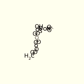 C=CC(=O)OCOc1ccc(OC(=O)C2CCC(C(=O)Oc3ccc(O)c4nc(-c5ccc([N+](=O)[O-])cc5)sc34)CC2)cc1